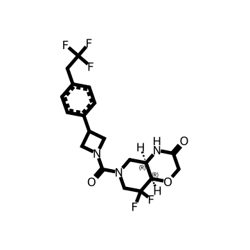 O=C1CO[C@@H]2[C@@H](CN(C(=O)N3CC(c4ccc(CC(F)(F)F)cc4)C3)CC2(F)F)N1